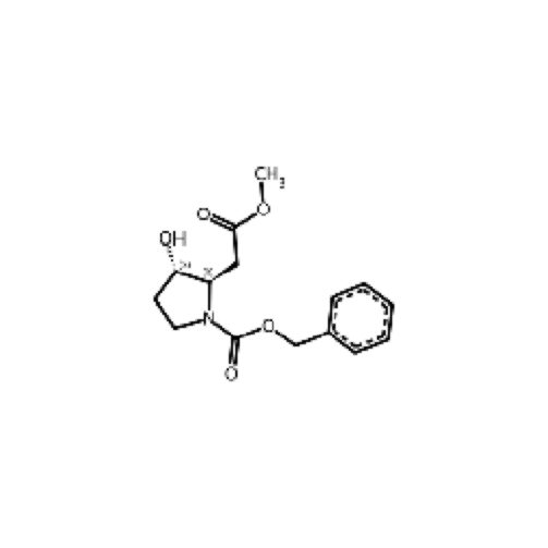 COC(=O)C[C@@H]1[C@@H](O)CCN1C(=O)OCc1ccccc1